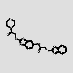 O=C(CSc1nc2ccccc2s1)Nc1ccc2nc(SCC(=O)N3CCOCC3)sc2c1